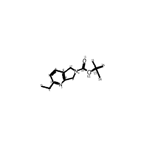 CCc1ccc2c(n1)CN(C(=O)OC(C)(C)C)C2